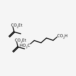 C=C(C)C(=O)OCC.C=C(C)C(=O)OCC.O=C(O)CCCCC(=O)O